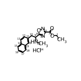 CCOC(=O)c1noc(C(Cc2ccc3ccccc3c2)NC)n1.Cl